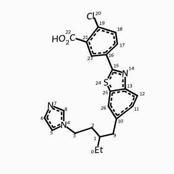 CCC(CCn1ccnc1)Cc1ccc2nc(-c3ccc(Cl)c(C(=O)O)c3)sc2c1